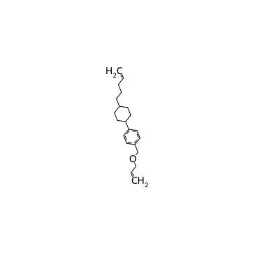 C=CCCCC1CCC(c2ccc(COCC=C)cc2)CC1